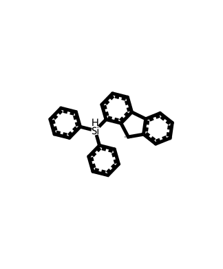 [CH]1c2ccccc2-c2cccc([SiH](c3ccccc3)c3ccccc3)c21